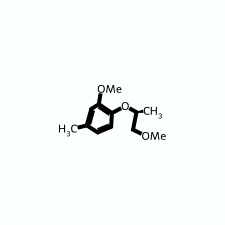 COC[C@H](C)Oc1ccc(C)cc1OC